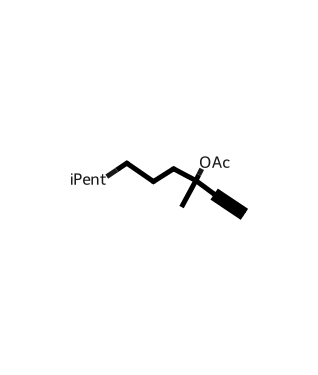 C#CC(C)(CCCC(C)CCC)OC(C)=O